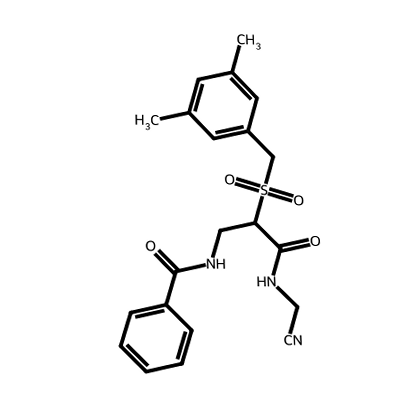 Cc1cc(C)cc(CS(=O)(=O)C(CNC(=O)c2ccccc2)C(=O)NCC#N)c1